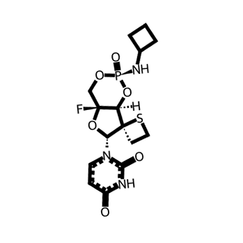 O=c1ccn([C@@H]2O[C@]3(F)CO[P@@](=O)(NC4CCC4)O[C@H]3[C@]23CCS3)c(=O)[nH]1